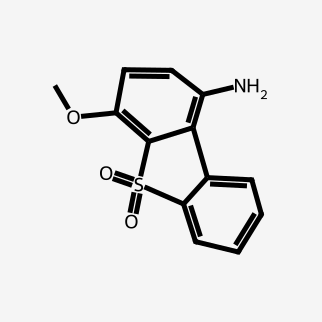 COc1ccc(N)c2c1S(=O)(=O)c1ccccc1-2